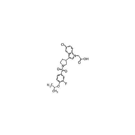 CC(C)Oc1ccc(S(=O)(=O)N2CCC(c3cn(CC(=O)O)c4ccc(Cl)cc34)C2)cc1F